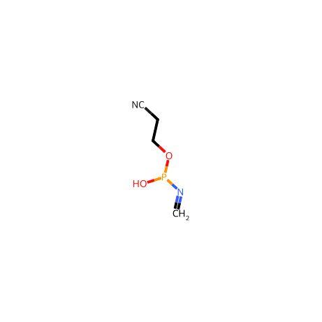 C=NP(O)OCCC#N